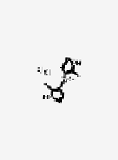 Cc1[pH]cc[c]1[Zr+2][c]1cc[pH]c1C.[Cl-].[Cl-]